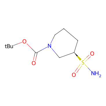 CC(C)(C)OC(=O)N1CCC[C@@H](S(N)(=O)=O)C1